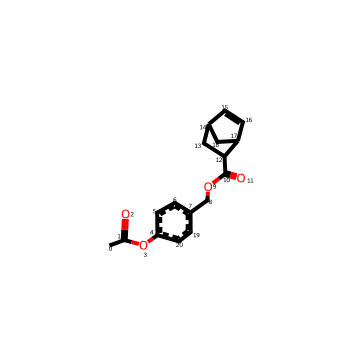 CC(=O)Oc1ccc(COC(=O)C2CC3C=CC2C3)cc1